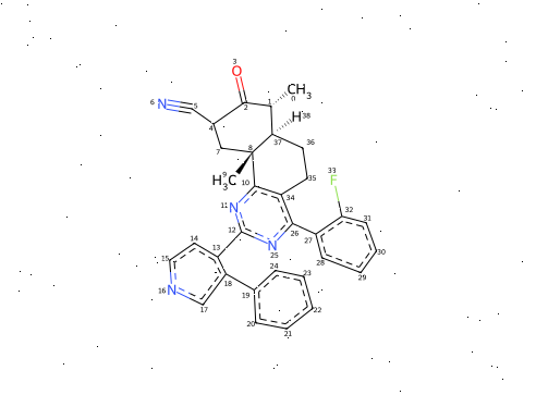 C[C@H]1C(=O)C(C#N)C[C@@]2(C)c3nc(-c4ccncc4-c4ccccc4)nc(-c4ccccc4F)c3CC[C@H]12